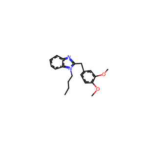 CCCCn1c(Cc2ccc(OC)c(OC)c2)nc2ccccc21